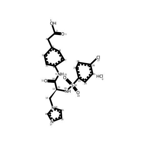 Cl.O=C(O)Cc1ccc(NC(=O)[C@H](Cn2ccnc2)NS(=O)(=O)c2ccc(Cl)cc2)cc1